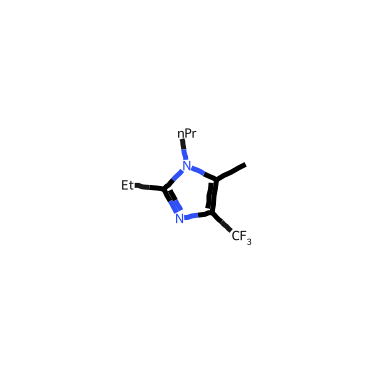 CCCn1c(CC)nc(C(F)(F)F)c1C